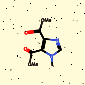 [CH2]n1cnc(C(=O)OC)c1C(=O)OC